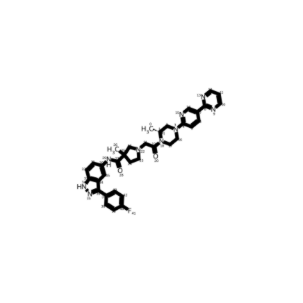 C[C@@H]1CN(c2ccc(-c3ncccn3)cn2)CCN1C(=O)CN1CCC(C)(C(=O)Nc2ccc3[nH]nc(-c4ccc(F)cc4)c3c2)C1